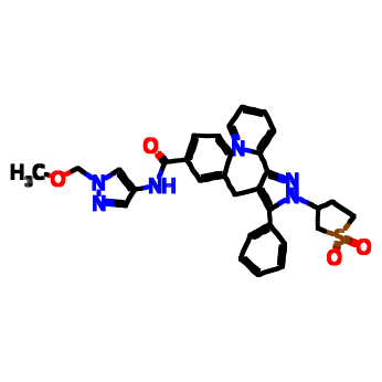 COCn1cc(NC(=O)c2cccc(Cc3c(-c4ccccn4)nn(C4CCS(=O)(=O)C4)c3-c3ccccc3)c2)cn1